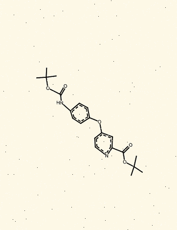 CC(C)(C)OC(=O)Nc1ccc(Oc2ccnc(C(=O)OC(C)(C)C)c2)cc1